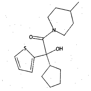 CC1CCN(C(=O)C(O)(c2cccs2)C2CCCC2)CC1